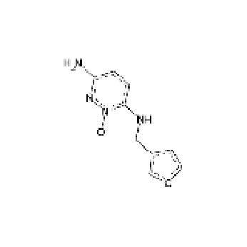 Nc1ccc(NCc2ccoc2)[n+]([O-])n1